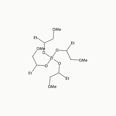 CCC(COC)[O][Zr]([O]C(CC)COC)([O]C(CC)COC)[O]C(CC)COC